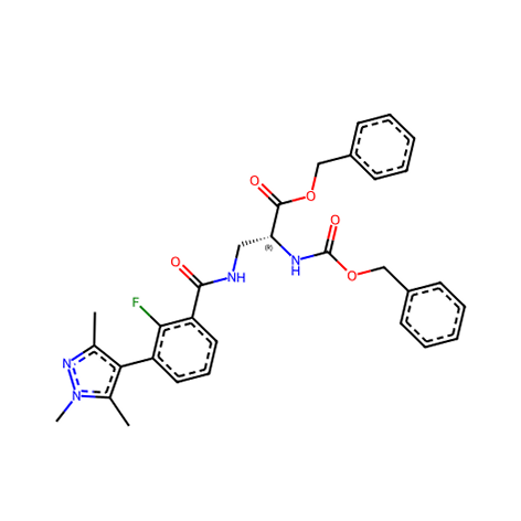 Cc1nn(C)c(C)c1-c1cccc(C(=O)NC[C@@H](NC(=O)OCc2ccccc2)C(=O)OCc2ccccc2)c1F